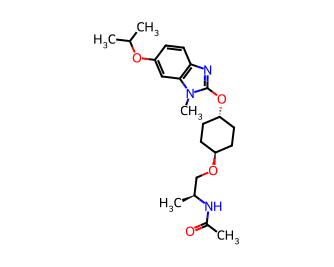 CC(=O)N[C@@H](C)CO[C@H]1CC[C@H](Oc2nc3ccc(OC(C)C)cc3n2C)CC1